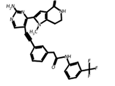 Cn1c(-c2nc(N)ncc2C#Cc2cccc(CC(=O)Nc3cccc(C(F)(F)F)c3)c2)cc2c1CCNC2=O